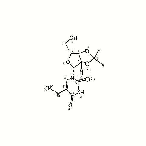 CC1(C)OC2[C@@H](CO)O[C@@H](n3cc(CCl)c(=O)[nH]c3=O)[C@H]2O1